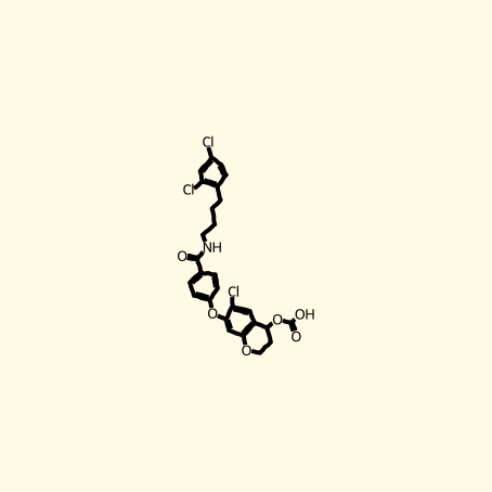 O=C(O)OC1CCOc2cc(Oc3ccc(C(=O)NCCCCc4ccc(Cl)cc4Cl)cc3)c(Cl)cc21